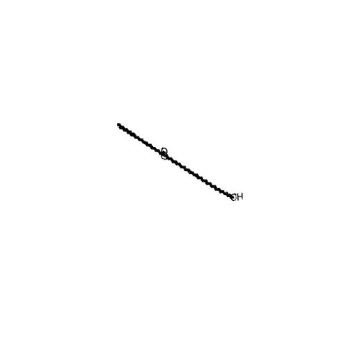 CCCCCCCCC=CCCCCCCCCCCCCCC(=O)OCCCCCCCCCCCCCCCCCCCCCCCCCCCCCCCCO